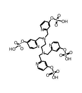 O=S(=O)(O)Oc1ccnc(CN(CCN(Cc2cc(OS(=O)(=O)O)ccn2)Cc2cc(OS(=O)(=O)O)ccn2)Cc2cc(OS(=O)(=O)O)ccn2)c1